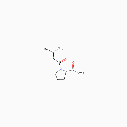 CCCCC(C)CC(=O)N1CCCC1C(=O)OC